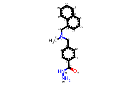 CN(Cc1ccc(C(=O)NN)cc1)Cc1cccc2ccccc12